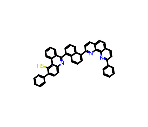 Sc1c(-c2ccccc2)ccc2nc(-c3cccc4c(-c5ccc6ccc7ccc(-c8ccccc8)nc7c6n5)cccc34)c3ccccc3c12